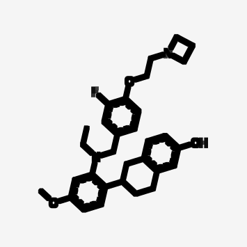 CCN(Cc1ccc(OCCN2CCC2)c(F)c1)c1cc(OC)ccc1C1CCc2cc(O)ccc2C1